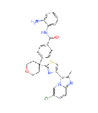 Cc1nc2ccc(Cl)cn2c1-c1csc(C2(c3ccc(C(=O)Nc4ccccc4N)cc3)CCOCC2)n1